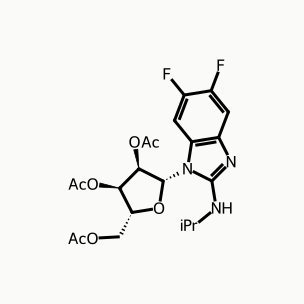 CC(=O)OC[C@H]1O[C@@H](n2c(NC(C)C)nc3cc(F)c(F)cc32)[C@H](OC(C)=O)[C@@H]1OC(C)=O